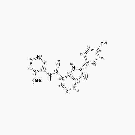 CC(C)COc1ccncc1NC(=O)c1ccnc2[nH]c(-c3ccc(F)cc3)nc12